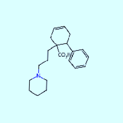 O=C(O)C1(CCCN2CCCCC2)CC=CCC1c1ccccc1